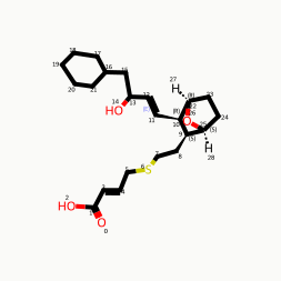 O=C(O)C=CCSCC[C@H]1[C@@H](/C=C/C(O)CC2CCCCC2)[C@H]2CC[C@@H]1O2